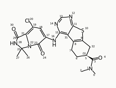 CN(C)C(=O)[C@H]1CCc2c(sc3ncnc(Nc4cc(Cl)c5n(c4=O)C(C)(C)NC5=O)c23)C1